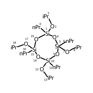 CCC[Si]1(OC(C)C)O[Si](CCC)(OC(C)C)O[Si](CCC)(OC(C)C)O[Si](CCC)(OC(C)C)O1